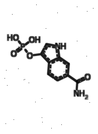 NC(=O)c1ccc2c(OP(=O)(O)O)c[nH]c2c1